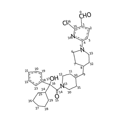 O=Cc1ccc(N2CCC(CC3CCN(C(=O)C(O)(c4ccccc4)C4CCCCC4)CC3)CC2)nc1Cl